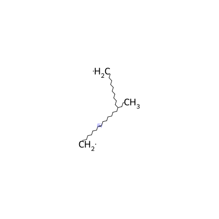 [CH2]CCCCCC/C=C/CCCCCCC(CCC)CCCCCCCCCC[CH2]